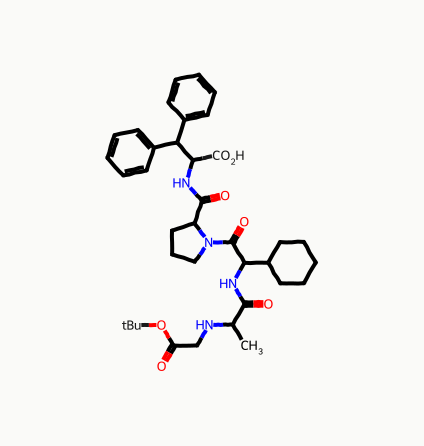 CC(NCC(=O)OC(C)(C)C)C(=O)NC(C(=O)N1CCCC1C(=O)NC(C(=O)O)C(c1ccccc1)c1ccccc1)C1CCCCC1